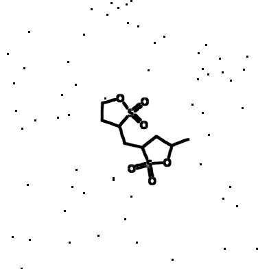 CC1CC(CC2CCOS2(=O)=O)S(=O)(=O)O1